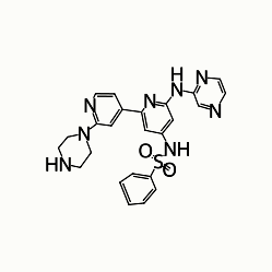 O=S(=O)(Nc1cc(Nc2cnccn2)nc(-c2ccnc(N3CCNCC3)c2)c1)c1ccccc1